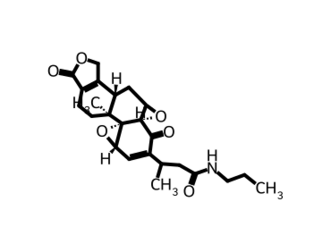 CCCNC(=O)CC(C)C1=C[C@@H]2O[C@@]23[C@@]2(C)CCC4=C(COC4=O)[C@@H]2C[C@@H]2O[C@@]23C1=O